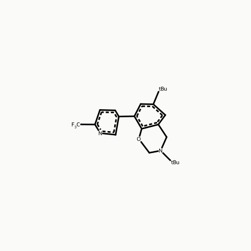 CC(C)(C)c1cc2c(c(-c3ccc(C(F)(F)F)nc3)c1)OCN(C(C)(C)C)C2